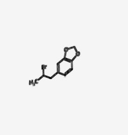 CC(Br)Cc1[c]cc2c(c1)OCO2